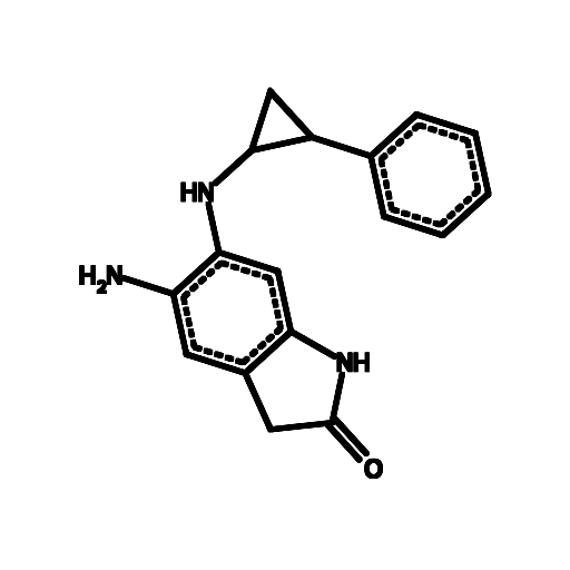 Nc1cc2c(cc1NC1CC1c1ccccc1)NC(=O)C2